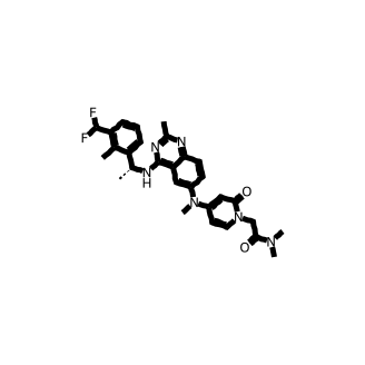 Cc1nc(N[C@H](C)c2cccc(C(F)F)c2C)c2cc(N(C)c3ccn(CC(=O)N(C)C)c(=O)c3)ccc2n1